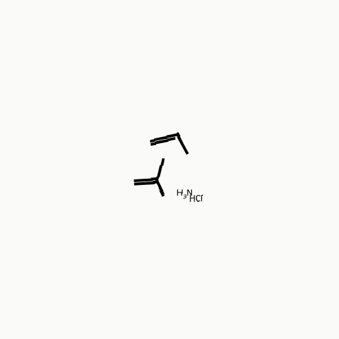 C=C(C)C.C=CC.Cl.N